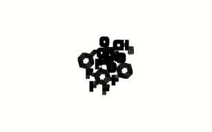 CC(C(=O)OCc1ccccc1)N(Oc1ccccc1)[PH](=O)Oc1c(F)c(F)c(F)c(F)c1F